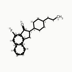 CCCC1CCC(C2Cc3c(c(F)cc4ccccc34)C2=O)CC1